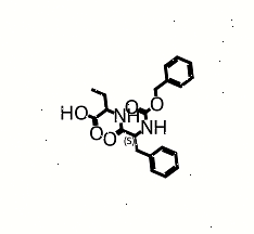 CCC(NC(=O)[C@H](Cc1ccccc1)NC(=O)OCc1ccccc1)C(=O)O